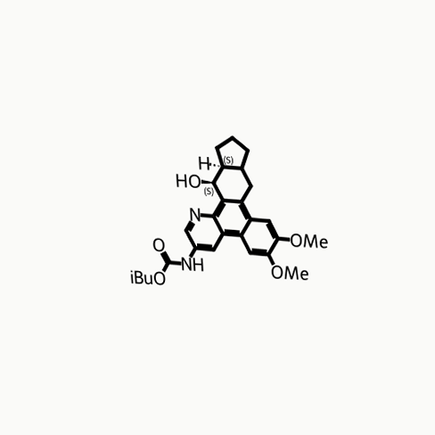 COc1cc2c3c(c4ncc(NC(=O)OCC(C)C)cc4c2cc1OC)[C@@H](O)[C@H]1CCCC1C3